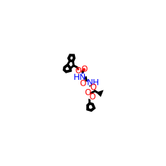 O=C(CNC(=O)OCC1c2ccccc2-c2ccccc21)NCO[C@H](C(=O)OCc1ccccc1)C1CC1